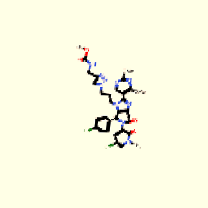 COc1ncc(-c2nc3c(n2CCCn2cc(CNC(=O)OC(C)(C)C)nn2)[C@H](c2ccc(Cl)cc2)N(c2cc(Cl)cn(C)c2=O)C3=O)c(OC)n1